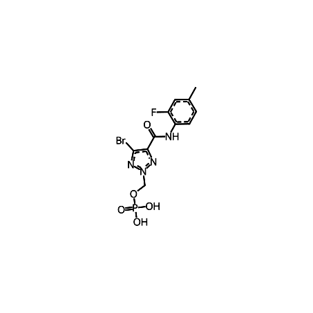 Cc1ccc(NC(=O)c2nn(COP(=O)(O)O)nc2Br)c(F)c1